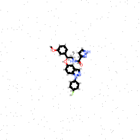 COc1cccc([C@H](Oc2ccc3c(cnn3-c3ccc(F)cc3)c2)[C@H](C)NC(=O)c2cc[nH]n2)c1